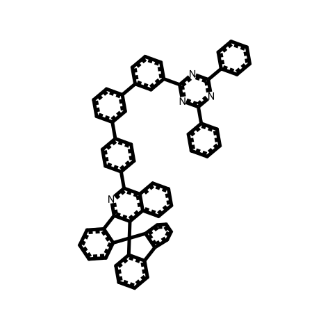 c1ccc(-c2nc(-c3ccccc3)nc(-c3cccc(-c4cccc(-c5ccc(-c6nc7c(c8ccccc68)C6(c8ccccc8-c8ccccc86)c6ccccc6-7)cc5)c4)c3)n2)cc1